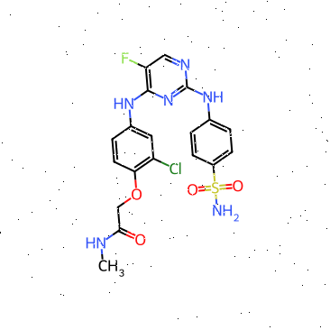 CNC(=O)COc1ccc(Nc2nc(Nc3ccc(S(N)(=O)=O)cc3)ncc2F)cc1Cl